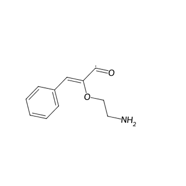 NCCOC([C]=O)=Cc1ccccc1